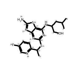 CC(C)CC(CO)Nc1nc(SC(C)c2ccc(F)cn2)nc2nc(N)sc12